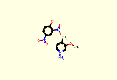 COc1c[n+](N)ccc1C.O=[N+]([O-])c1ccc([O-])c([N+](=O)[O-])c1